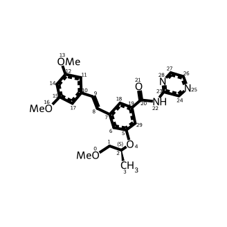 COC[C@H](C)Oc1cc(C=Cc2cc(OC)cc(OC)c2)cc(C(=O)Nc2cnccn2)c1